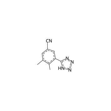 Cc1cc(C#N)cc(-c2nnn[nH]2)c1C